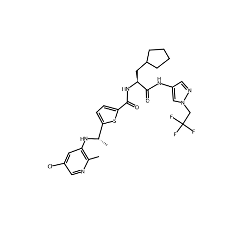 Cc1ncc(Cl)cc1N[C@@H](C)c1ccc(C(=O)N[C@@H](CC2CCCC2)C(=O)Nc2cnn(CC(F)(F)F)c2)s1